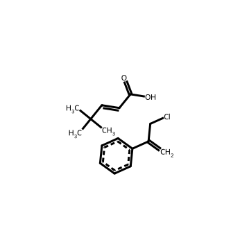 C=C(CCl)c1ccccc1.CC(C)(C)C=CC(=O)O